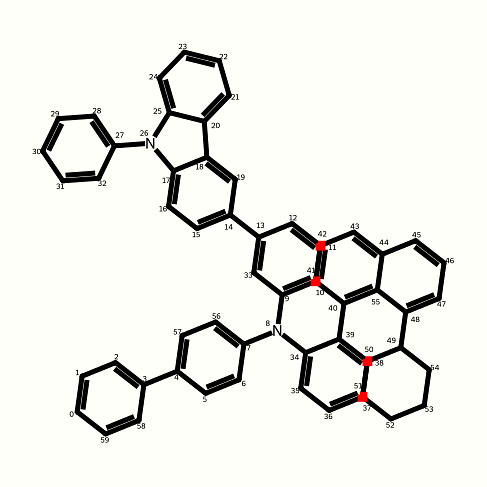 c1ccc(-c2ccc(N(c3cccc(-c4ccc5c(c4)c4ccccc4n5-c4ccccc4)c3)c3ccccc3-c3cccc4cccc(C5CCCCC5)c34)cc2)cc1